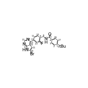 CC(C)(C)c1ccc(C(=O)NCc2ccc(-c3ncnc4[nH]c(Br)cc34)cc2F)cc1